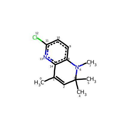 CC1=CC(C)(C)N(C)c2ccc(Cl)nc21